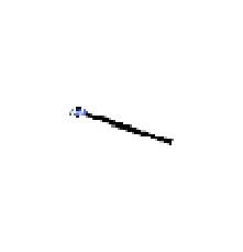 C#CC#CC#CC#CC#CC#CC#CC#CC#CC#CC#CN1CCN(C)C1